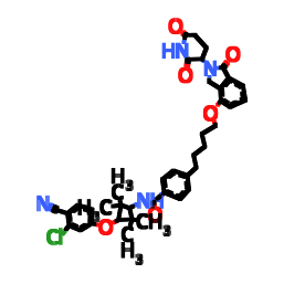 CC1(C)C(NC(=O)c2ccc(CCCCCOc3cccc4c3CN(C3CCC(=O)NC3=O)C4=O)cc2)C(C)(C)C1Oc1ccc(C#N)c(Cl)c1